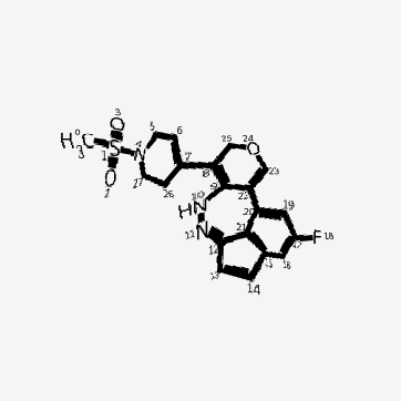 CS(=O)(=O)N1CC=C(C2=C3NN=C4C=Cc5cc(F)cc(c54)C3=COC2)CC1